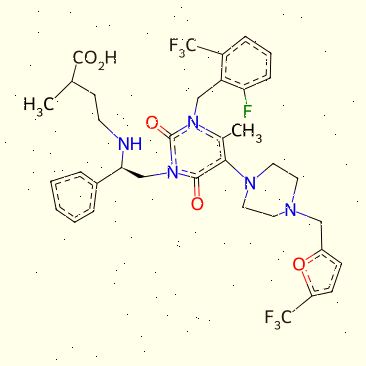 Cc1c(N2CCN(Cc3ccc(C(F)(F)F)o3)CC2)c(=O)n(C[C@H](NCCC(C)C(=O)O)c2ccccc2)c(=O)n1Cc1c(F)cccc1C(F)(F)F